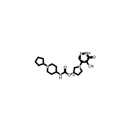 N#Cc1c(N2CC[C@@H](OC(=O)NC3CCN(C4CCCC4)CC3)C2)cn[nH]c1=O